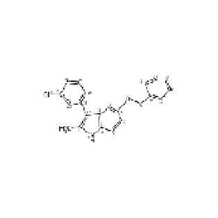 Cc1[nH]c2ccc(OCc3ccccc3)cc2c1-c1cccc(Cl)c1